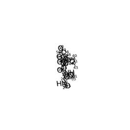 COc1cccc(C(=O)N(C(=O)OCOC(=O)C(CCCCNC(C)=O)NC(=O)OC(C)(C)C)N(C(=O)c2cc(C)cc(C)c2)C(C)(C)C)c1C